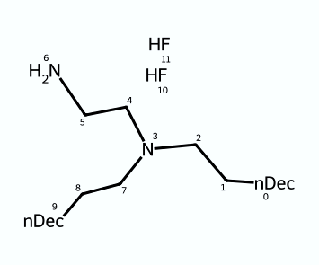 CCCCCCCCCCCCN(CCN)CCCCCCCCCCCC.F.F